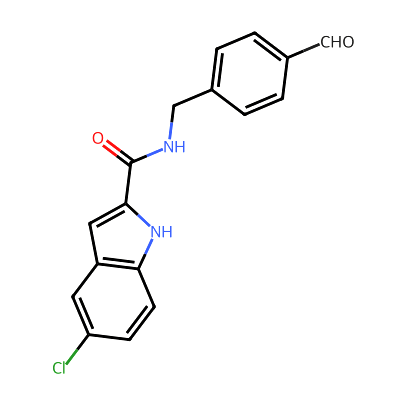 O=Cc1ccc(CNC(=O)c2cc3cc(Cl)ccc3[nH]2)cc1